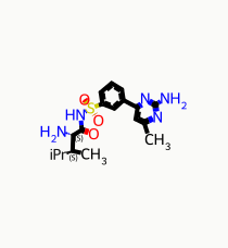 Cc1cc(-c2cccc(S(=O)(=O)NC(=O)[C@@H](N)[C@@H](C)C(C)C)c2)nc(N)n1